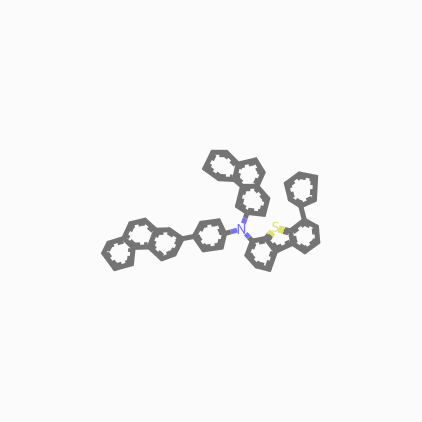 c1ccc(-c2cccc3c2sc2c(N(c4ccc(-c5ccc6c(ccc7ccccc76)c5)cc4)c4ccc5ccc6ccccc6c5c4)cccc23)cc1